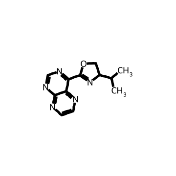 CC(C)C1COC(c2ncnc3nccnc23)=N1